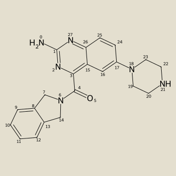 Nc1nc(C(=O)N2Cc3ccccc3C2)c2cc(N3CCNCC3)ccc2n1